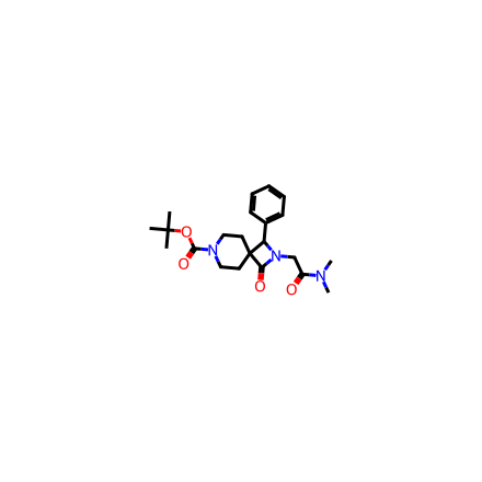 CN(C)C(=O)CN1C(=O)C2(CCN(C(=O)OC(C)(C)C)CC2)C1c1ccccc1